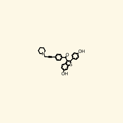 O=C(c1ccc(C#CCN2CCCCC2)cc1)c1c(-c2ccc(O)cc2)sc2cc(O)ccc12